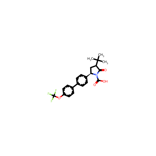 CC(C)(C)C1C[C@H](c2ccc(-c3ccc(OC(F)(F)F)cc3)cc2)N(C(=O)O)C1=O